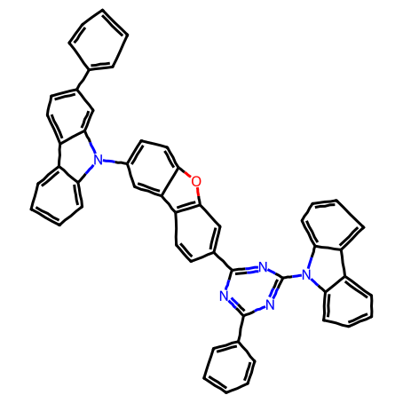 c1ccc(-c2ccc3c4ccccc4n(-c4ccc5oc6cc(-c7nc(-c8ccccc8)nc(-n8c9ccccc9c9ccccc98)n7)ccc6c5c4)c3c2)cc1